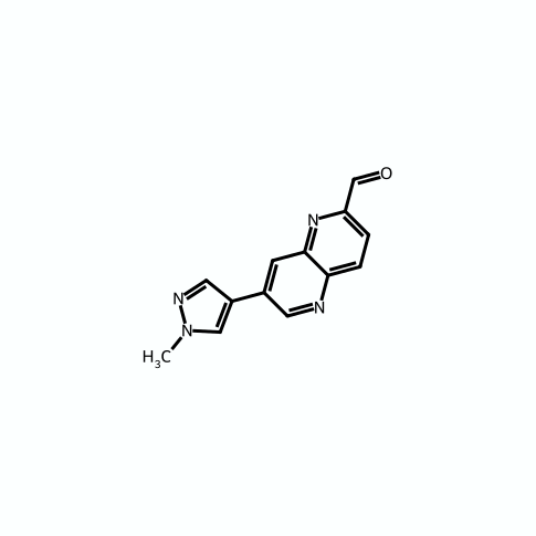 Cn1cc(-c2cnc3ccc(C=O)nc3c2)cn1